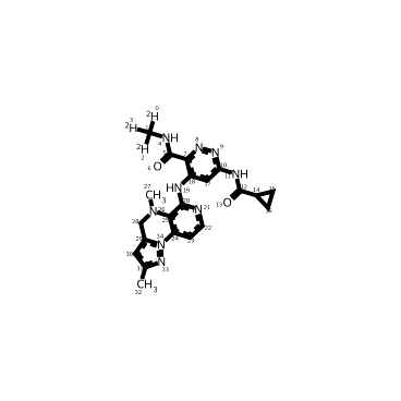 [2H]C([2H])([2H])NC(=O)c1nnc(NC(=O)C2CC2)cc1Nc1nccc2c1N(C)Cc1cc(C)nn1-2